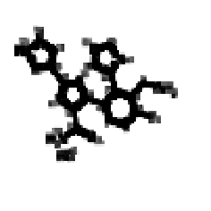 Cl.NCc1c(F)ccc(-c2sc(-c3cn[nH]c3)nc2C(N)=O)c1-c1cscn1